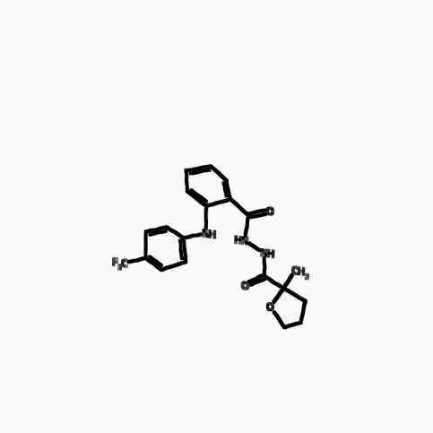 CC1(C(=O)NNC(=O)c2ccccc2Nc2ccc(C(F)(F)F)cc2)CCCO1